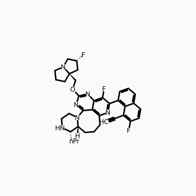 C#Cc1c(F)ccc2cccc(-c3nc4c5c(nc(OC[C@@]67CCCN6C[C@H](F)C7)nc5c3F)N3CCN[C@@H](CCC)[C@H]3CCC4)c12